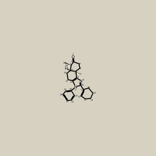 C[C@H]1C(=O)CC[C@@]2(C)c3nc(C4=CCCCC4)n(-c4ccccc4)c3CC[C@H]12